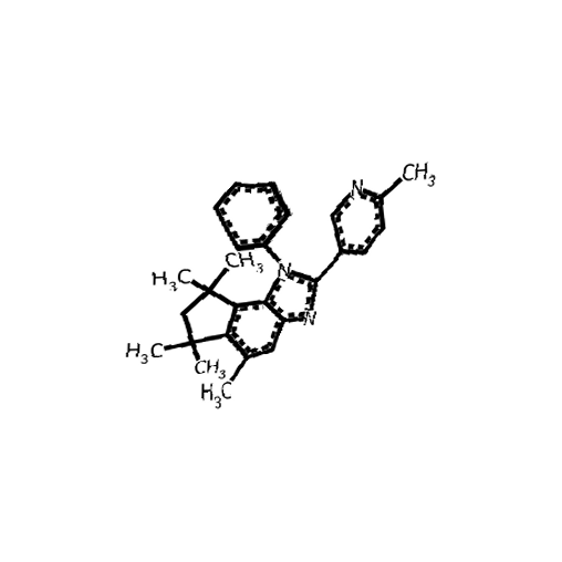 Cc1ccc(-c2nc3cc(C)c4c(c3n2-c2ccccc2)C(C)(C)CC4(C)C)cn1